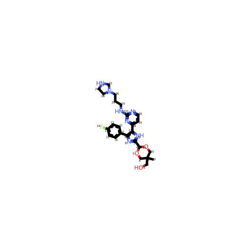 CC1(CO)COC(c2nc(-c3ccc(F)cc3)c(-c3ccnc(NCCCN4CCNC4)n3)[nH]2)OC1